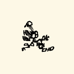 CC[C@H](C)[C@H](NC(=O)[C@H]1CCCCN1C)C(=O)N(COC(=O)CC(C)C)[C@H](C[C@@H](OC(C)=O)c1nc(C=O)cs1)C(C)C